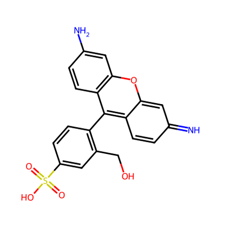 N=c1ccc2c(-c3ccc(S(=O)(=O)O)cc3CO)c3ccc(N)cc3oc-2c1